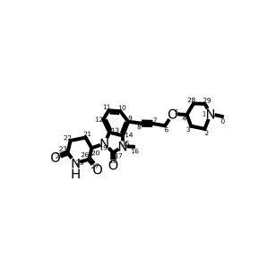 CN1CCC(OCC#Cc2cccc3c2n(C)c(=O)n3C2CCC(=O)NC2=O)CC1